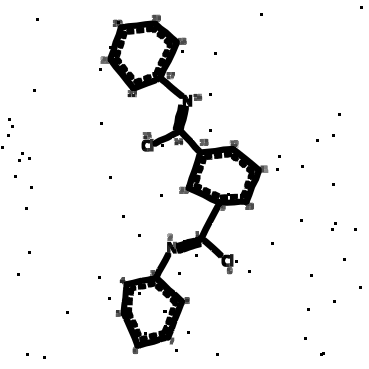 ClC(=Nc1ccccc1)c1cccc(C(Cl)=Nc2ccccc2)c1